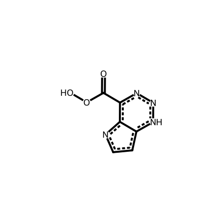 O=C(OO)c1nn[nH]c2ccnc1-2